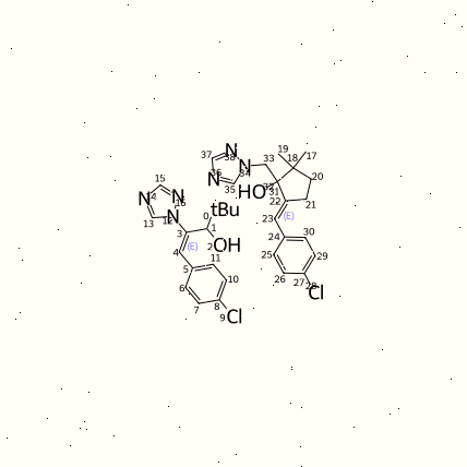 CC(C)(C)C(O)/C(=C\c1ccc(Cl)cc1)n1cncn1.CC1(C)CC/C(=C\c2ccc(Cl)cc2)C1(O)Cn1cncn1